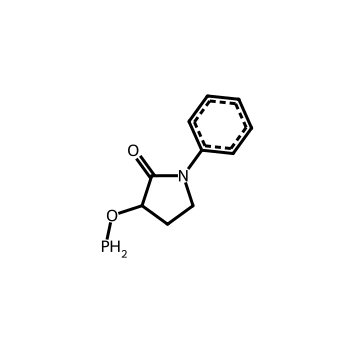 O=C1C(OP)CCN1c1ccccc1